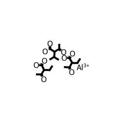 CC(=O)C(C(=O)[O-])C(C)C.CCC(C(C)=O)C(=O)[O-].CCC(C(C)=O)C(=O)[O-].[Al+3]